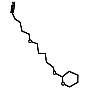 N#CCCCCOCCCCCOC1CCCCO1